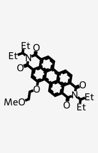 CCC(CC)N1C(=O)c2ccc3c4ccc5c6c(cc(OCCOC)c(c7ccc(c2c37)C1=O)c64)C(=O)N(C(CC)CC)C5=O